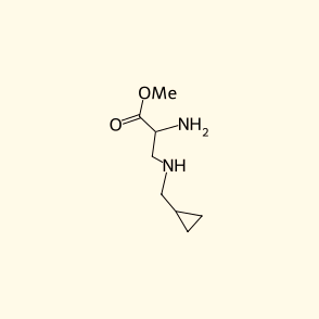 COC(=O)C(N)CNCC1CC1